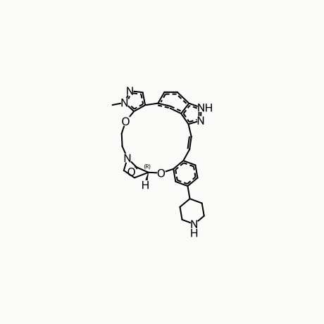 Cn1ncc2c1OCCN1CC[C@@H](Oc3cc(C4CCNCC4)ccc3C=Cc3n[nH]c4ccc-2cc34)C1=O